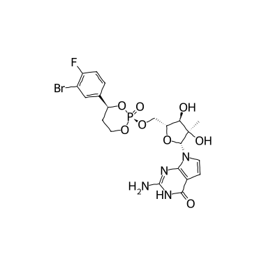 C[C@@]1(O)[C@H](O)[C@@H](CO[P@@]2(=O)OCC[C@@H](c3ccc(F)c(Br)c3)O2)O[C@H]1n1ccc2c(=O)[nH]c(N)nc21